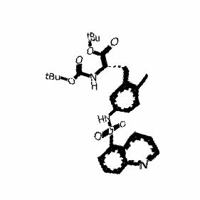 Cc1ccc(NS(=O)(=O)c2cccc3ncccc23)cc1C[C@H](NC(=O)OC(C)(C)C)C(=O)OC(C)(C)C